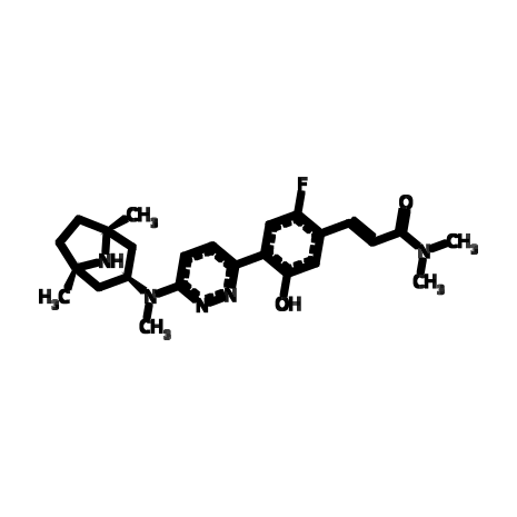 CN(C)C(=O)/C=C/c1cc(O)c(-c2ccc(N(C)[C@H]3C[C@]4(C)CC[C@](C)(C3)N4)nn2)cc1F